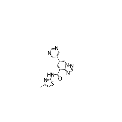 Cc1csc(NC(=O)c2cc(-c3cncnc3)cn3ncnc23)n1